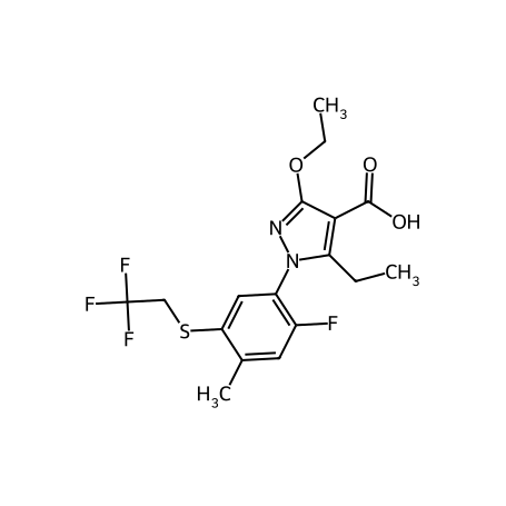 CCOc1nn(-c2cc(SCC(F)(F)F)c(C)cc2F)c(CC)c1C(=O)O